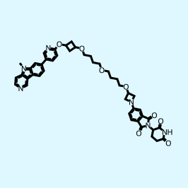 Cn1c2ccncc2c2ccc(-c3ccc(OC4CC(OCCCCOCCCCOC5CN(c6ccc7c(c6)C(=O)N(C6CCC(=O)NC6=O)C7=O)C5)C4)nc3)cc21